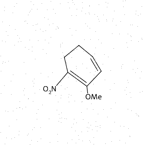 COC1=C([N+](=O)[O-])CCC=C1